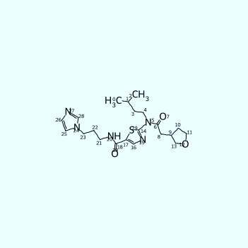 CC(C)CCN(C(=O)CC1CCOC1)c1ncc(C(=O)NCCCn2ccnc2)s1